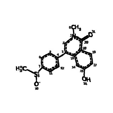 Cn1cc(-c2ccc([S+](C)[O-])cc2)c2cc(O)ccc2c1=O